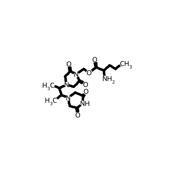 CCCC(N)C(=O)OCN1C(=O)CN(C(C)C(C)N2CC(=O)NC(=O)C2)CC1=O